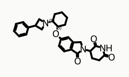 O=C1CCC(N2Cc3cc(O[C@H]4CCCC[C@@H]4N4CC(c5ccccc5)C4)ccc3C2=O)C(=O)N1